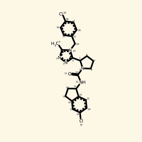 Cc1nnc(C2CCCN2C(=O)NC2CCc3cc(Cl)ccc32)n1Cc1ccc(Cl)cc1